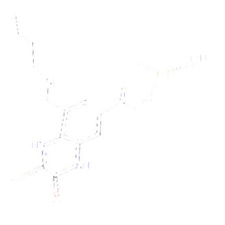 Br.CCCCNCc1cc([N+](=O)[O-])cc2[nH]c(=O)c(=O)[nH]c12.O=[PH](O)O